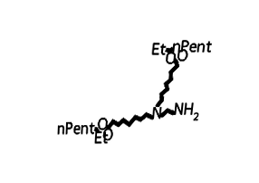 CCCCCC(CC)OC(=O)CCCCCCCCN(CCCN)CCCCCCCCC(=O)OC(CC)CCCCC